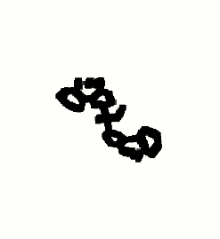 CCC(C)(c1ccc(O)c(-c2ccccc2)c1)c1ccc(O)c(-c2ccccc2)c1